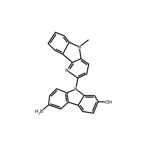 Bc1ccc2c(c1)c1ccc(O)cc1n2-c1ccc2c(n1)c1ccccc1n2C